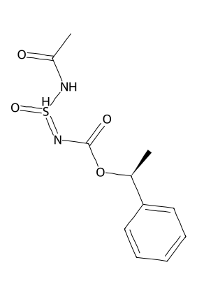 CC(=O)N/[SH](=O)=N\C(=O)O[C@@H](C)c1ccccc1